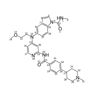 CNC(=O)n1ccc2cc(N(CCOC)c3ccnc(NC(=O)c4ccc(C5CCN(C)CC5)cc4)c3)ccc21